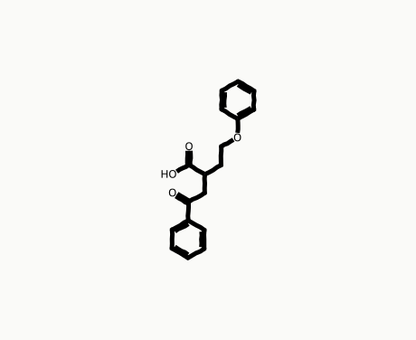 O=C(CC(CCOc1ccccc1)C(=O)O)c1ccccc1